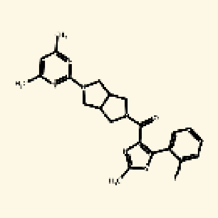 Cc1cc(C)nc(N2CC3CN(C(=O)c4nc(C)sc4-c4ccccc4F)CC3C2)n1